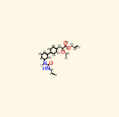 C=CCNC(=O)N(C)c1cccc(-c2ccc(CC(OCC)C(=O)OCC=C)cc2)c1